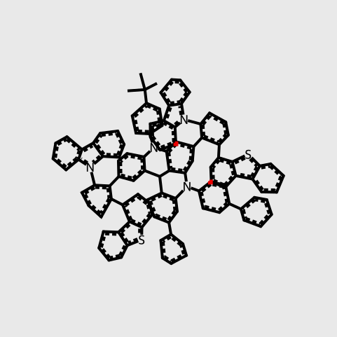 CC(C)(C)c1ccc(N2c3ccc(-c4c(-c5cccc6sc7ccccc7c56)cccc4-n4c5ccccc5c5ccccc54)cc3C3c4ccc(-c5ccccc5)cc4N(c4ccc(-c5ccccc5)cc4)c4cc(-c5c(-c6cccc7c6sc6ccccc67)cccc5-n5c6ccccc6c6ccccc65)cc2c43)cc1